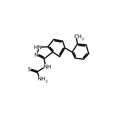 Cc1ccccc1-c1ccc2[nH]nc(NC(N)=S)c2c1